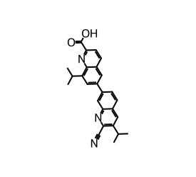 CC(C)c1cc2ccc(-c3cc(C(C)C)c4nc(C(=O)O)ccc4c3)cc2nc1C#N